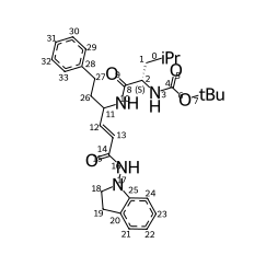 CC(C)C[C@H](NC(=O)OC(C)(C)C)C(=O)NC(C=CC(=O)NN1CCc2ccccc21)CCc1ccccc1